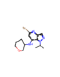 CC(C)n1ncc2nc(Br)cc(NC3CCCOC3)c21